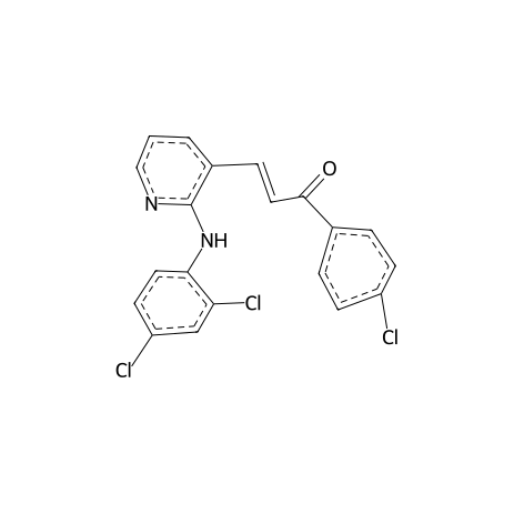 O=C(/C=C/c1cccnc1Nc1ccc(Cl)cc1Cl)c1ccc(Cl)cc1